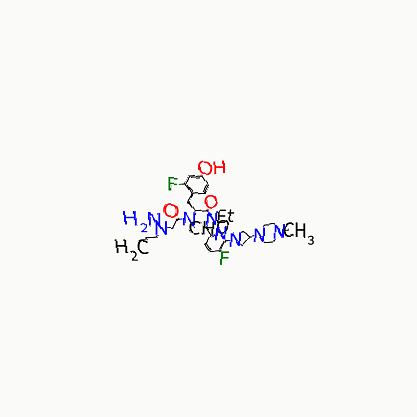 C=CCN(N)CC(=O)N(C=O)[C@@H](Cc1ccc(O)cc1F)C(=O)N(CC)Cc1ccc(F)c(N2CC(N3CCN(C)CC3)C2)n1